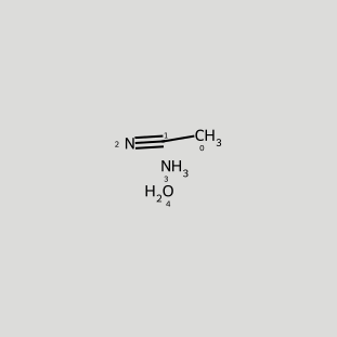 CC#N.N.O